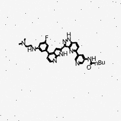 CCCCC(=O)Nc1cncc(-c2ccc3[nH]nc(-c4cc5c(-c6cc(F)cc(NCCN(C)C)c6)ccnc5[nH]4)c3n2)c1